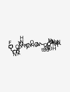 Cc1n[nH]c(Nc2ncnc3cc(OCCCN4CCN(CC(=O)N5CCN(C[C@H]6CN[C@H](C)CN6CC(=O)N6CC(C)(C)c7ncc(Cc8ccc(F)cc8)cc76)C(C)C5)CC4)c(S(=O)(=O)C(C)(C)C)cc23)c1C